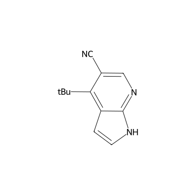 CC(C)(C)c1c(C#N)cnc2[nH]ccc12